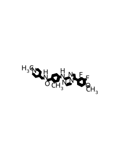 COc1ccc(C2CN=C3C(Nc4ccc(C(=O)NCC5CCN(C)CC5)c(C)c4)=NC=CN32)c(F)c1F